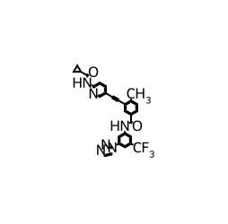 Cc1ccc(C(=O)Nc2cc(-n3ccnn3)cc(C(F)(F)F)c2)cc1C#Cc1ccc(NC(=O)C2CC2)nc1